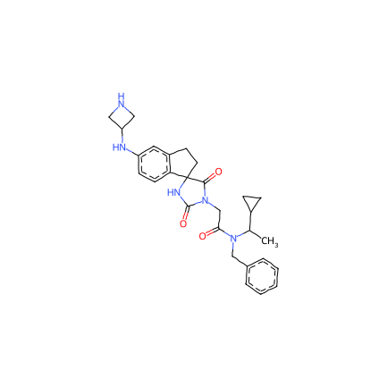 CC(C1CC1)N(Cc1ccccc1)C(=O)CN1C(=O)NC2(CCc3cc(NC4CNC4)ccc32)C1=O